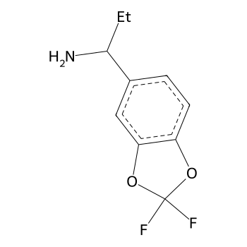 CCC(N)c1ccc2c(c1)OC(F)(F)O2